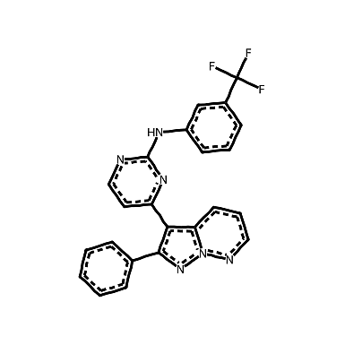 FC(F)(F)c1cccc(Nc2nccc(-c3c(-c4ccccc4)nn4ncccc34)n2)c1